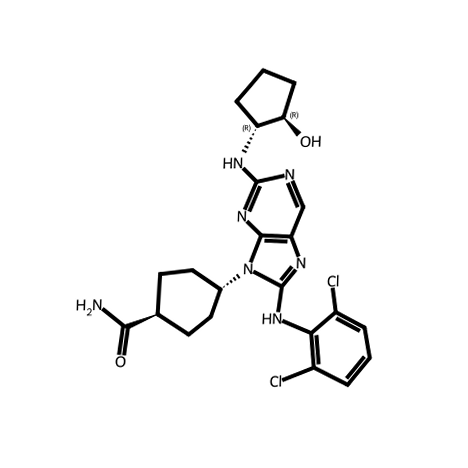 NC(=O)[C@H]1CC[C@H](n2c(Nc3c(Cl)cccc3Cl)nc3cnc(N[C@@H]4CCC[C@H]4O)nc32)CC1